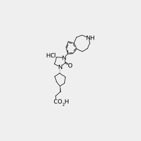 Cl.O=C(O)CC[C@H]1CC[C@H](N2CCN(c3ccc4c(c3)CCCNCC4)C2=O)CC1